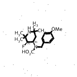 COc1ccc(CN(C(=O)O)[C@@H]2CC(C)(C)NC(C)(C)[C@@H]2F)cc1